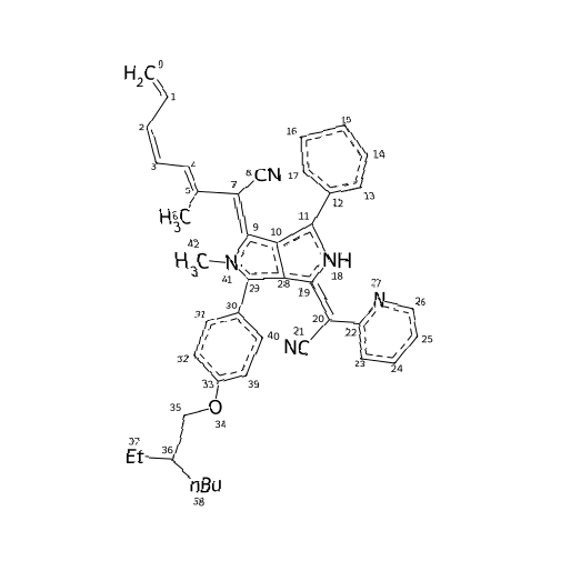 C=C\C=C/C=C(C)/C(C#N)=c1/c2c(-c3ccccc3)[nH]/c(=C(/C#N)c3ccccn3)c2c(-c2ccc(OCC(CC)CCCC)cc2)n1C